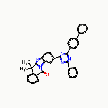 CC1(C)c2ccccc2C(=O)n2c1nc1ccc(-c3nc(-c4ccccc4)nc(-c4ccc(-c5ccccc5)cc4)n3)cc12